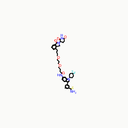 NC(=S)c1cccc(-c2cn(C3CCC(F)(F)CC3)c3cc(NC(=O)CCCOCCCOCCCCc4cccc5c4CN(C4CCC(=O)NC4=O)C5=O)ccc23)c1